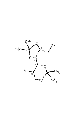 CC1(C)OC[C@@H](O)[C@H]([C@@H]2OC(C)(C)O[C@@H]2CO)O1